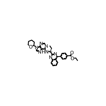 CCOC(=O)c1ccc(-c2nc([C@H](CC)Nc3ncnc4c3ncn4C3CCCCO3)nc3ccccc23)cc1